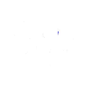 CCOC(=O)C(NC(=O)[C@@H](N)C(C)C)c1ccccc1